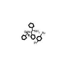 Cc1ccc(C(C)C)cc1.N[C@H](c1ccccc1)[C@H](NS(=O)(=O)c1ccccc1)c1ccccc1.[Ru]